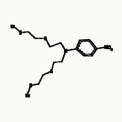 CCSCCSCCN(CCSCCSCC)c1ccc([N+](=O)[O-])cc1